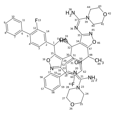 CC(c1ccc(-c2ccccc2)c(F)c1)c1onc(CN=C(N)N2CCOCC2)c1C(O)C(O)c1c(N=C(N)N2CCOCC2)noc1C(C)c1ccc(-c2ccccc2)c(F)c1